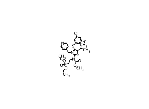 CCOP(=O)(CCN(C(=O)OC)c1nc(C(C)C)c(Sc2cc(Cl)cc(Cl)c2)n1Cc1ccncc1)OCC